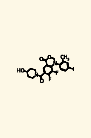 Cc1cc(I)ccc1N1COC(=O)c2cc(C(=O)N3CCC(O)CC3)c(F)c(F)c21